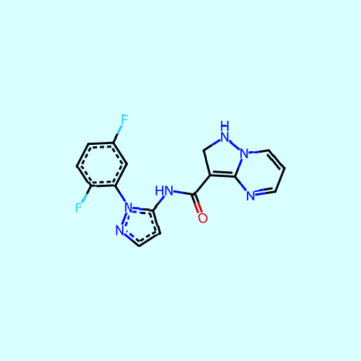 O=C(Nc1ccnn1-c1cc(F)ccc1F)C1=C2N=CC=CN2NC1